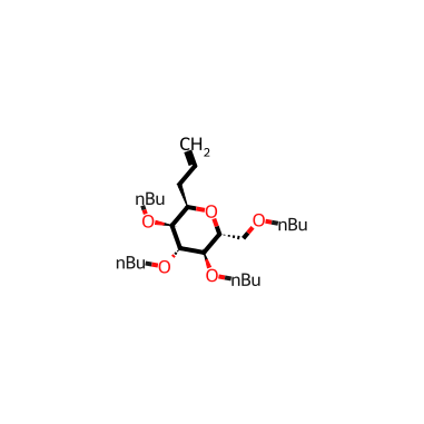 C=CC[C@H]1O[C@H](COCCCC)[C@@H](OCCCC)[C@H](OCCCC)[C@H]1OCCCC